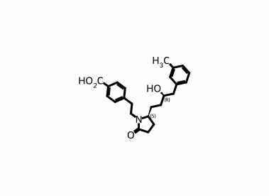 Cc1cccc(C[C@H](O)CC[C@H]2CCC(=O)N2CCc2ccc(C(=O)O)cc2)c1